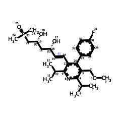 COCc1c(C(C)C)nc(C(C)C)c(/C=C/[C@@H](O)C[C@@H](O)CP(C)(C)=O)c1-c1ccc(F)cc1